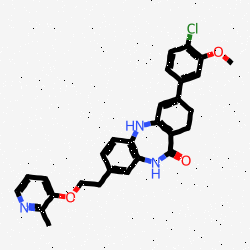 COc1cc(C2=CC3=C(CC2)C(=O)Nc2cc(CCOc4cccnc4C)ccc2N3)ccc1Cl